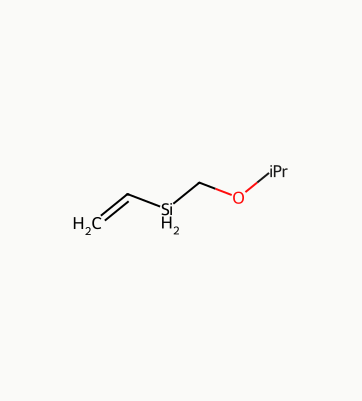 C=C[SiH2]COC(C)C